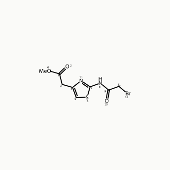 COC(=O)Cc1csc(NC(=O)CBr)n1